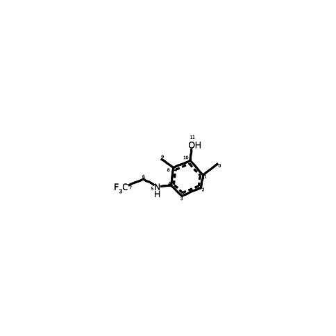 Cc1ccc(NCC(F)(F)F)c(C)c1O